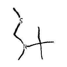 CSCN(C)C(C)(C)C